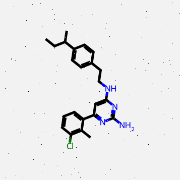 C[CH]C(C)c1ccc(CCNc2cc(-c3cccc(Cl)c3C)nc(N)n2)cc1